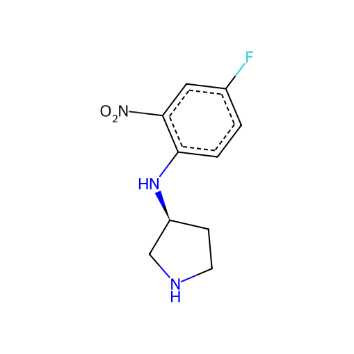 O=[N+]([O-])c1cc(F)ccc1N[C@H]1CCNC1